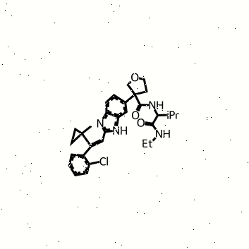 CCNC(=O)C(NC(=O)C1(c2ccc3nc(/C=C(/c4ccccc4Cl)C4(C)CC4)[nH]c3c2)CCOC1)C(C)C